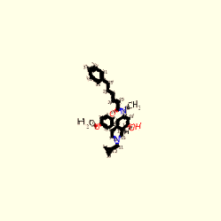 COc1cccc([C@@]23CCN(CC4CC4)C[C@H]2C(O)C[C@@H](N(C)C(=O)CCCCCc2ccccc2)C3)c1